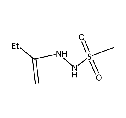 C=C(CC)NNS(C)(=O)=O